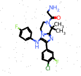 CC1(C)c2nc(-c3ccc(Cl)c(F)c3)c(Nc3ccc(F)cc3)n2CCN1C(=O)CN